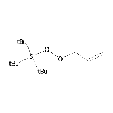 C=CCOO[Si](C(C)(C)C)(C(C)(C)C)C(C)(C)C